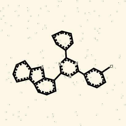 Clc1cccc(-c2nc(-c3ccccc3)nc(-c3cccc4c3sc3ccccc34)n2)c1